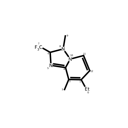 CCC1=C(C)C2=NC(C(F)(F)F)N(C)N2C=C1